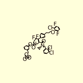 O=C(Oc1cccc(CO[N+](=O)[O-])c1)N1CC(C(=O)N(Cc2cccc(Cl)c2Cl)C2CC2)=C(c2ccc(CCCOc3c(F)ccc(F)c3Cl)cc2)C(F)(F)C1